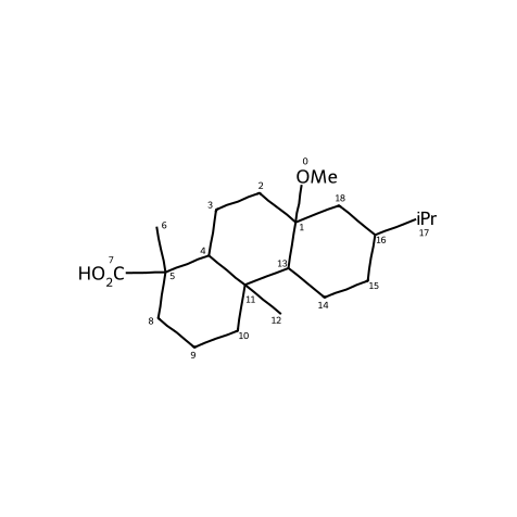 COC12CCC3C(C)(C(=O)O)CCCC3(C)C1CCC(C(C)C)C2